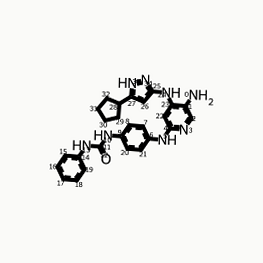 Nc1cnc(Nc2ccc(NC(=O)Nc3ccccc3)cc2)cc1Nc1cc(C2CCCC2)[nH]n1